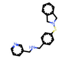 c1cncc(CNCc2ccc(SN3Cc4ccccc4C3)cc2)c1